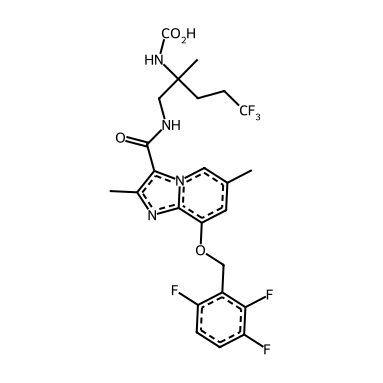 Cc1cc(OCc2c(F)ccc(F)c2F)c2nc(C)c(C(=O)NCC(C)(CCC(F)(F)F)NC(=O)O)n2c1